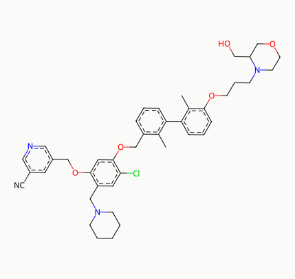 Cc1c(COc2cc(OCc3cncc(C#N)c3)c(CN3CCCCC3)cc2Cl)cccc1-c1cccc(OCCCN2CCOCC2CO)c1C